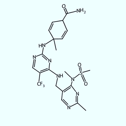 Cc1ncc(CNc2nc(NC3(C)C=CC(C(N)=O)C=C3)ncc2C(F)(F)F)c(N(C)S(C)(=O)=O)n1